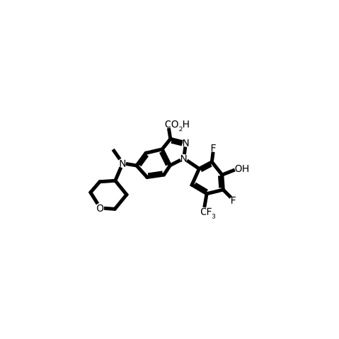 CN(c1ccc2c(c1)c(C(=O)O)nn2-c1cc(C(F)(F)F)c(F)c(O)c1F)C1CCOCC1